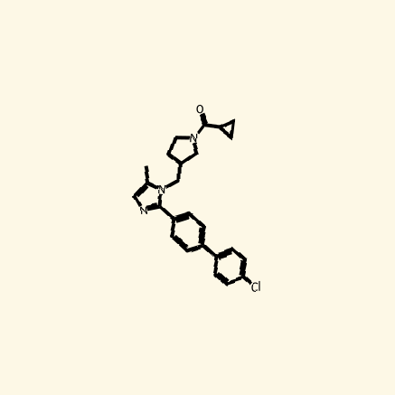 Cc1cnc(-c2ccc(-c3ccc(Cl)cc3)cc2)n1CC1CCN(C(=O)C2CC2)C1